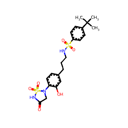 CC(C)(C)c1ccc(S(=O)(=O)NCCCc2ccc(N3CC(=O)NS3(=O)=O)c(O)c2)cc1